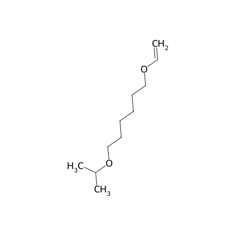 C=COCCCCCCOC(C)C